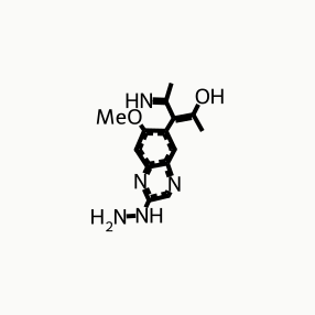 COc1cc2nc(NN)cnc2cc1/C(C(C)=N)=C(\C)O